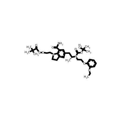 CCOc1ccccc1OCCN(C(=O)OC(C)(C)C)[C@H](C)Cc1cc2c(c(C(N)=O)c1)N(CCCOC(=O)C(C)(C)C)CC2